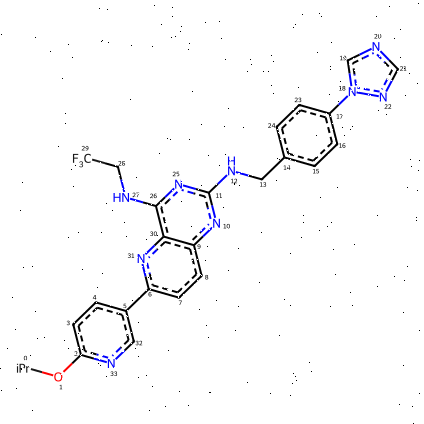 CC(C)Oc1ccc(-c2ccc3nc(NCc4ccc(-n5cncn5)cc4)nc(NCC(F)(F)F)c3n2)cn1